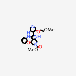 COCCOC1=C(c2[nH]c3c(c2NC2=C=C=CC=C2)C(=O)CN(C(=O)OC)C3)CCN=C1